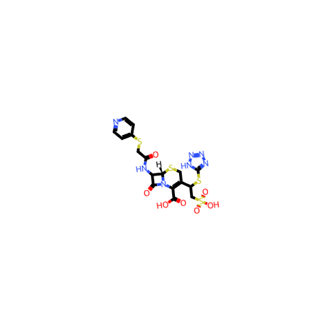 O=C(CSc1ccncc1)NC1C(=O)N2C(C(=O)O)=C(C(CS(=O)(=O)O)Sc3nnn[nH]3)CS[C@@H]12